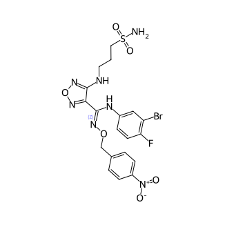 NS(=O)(=O)CCCNc1nonc1/C(=N/OCc1ccc([N+](=O)[O-])cc1)Nc1ccc(F)c(Br)c1